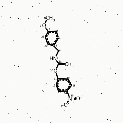 COc1ccc(CNC(=O)Oc2ccc([N+](=O)[O-])cc2)cc1